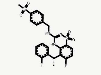 C[C@H](c1ccccc1F)c1c(F)ccc2c1NC(NCc1ccc(S(C)(=O)=O)cc1)=NS2(=O)=O